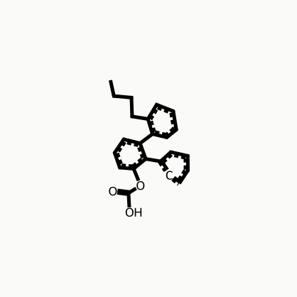 CCCCc1ccccc1-c1cccc(OC(=O)O)c1-c1ccccc1